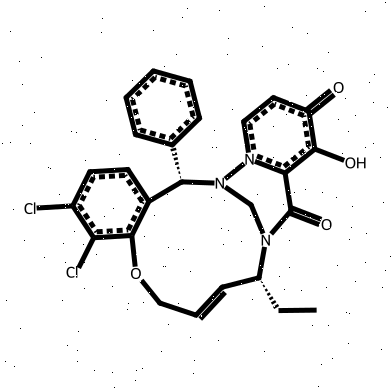 CC[C@@H]1/C=C/COc2c(ccc(Cl)c2Cl)[C@H](c2ccccc2)N2CN1C(=O)c1c(O)c(=O)ccn12